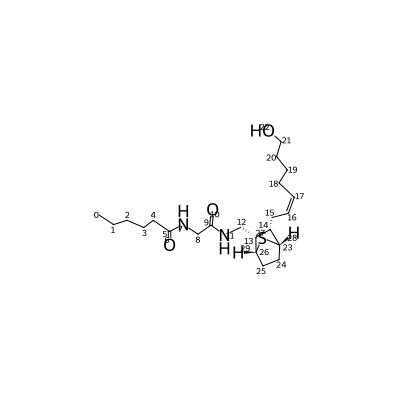 CCCCCC(=O)NCC(=O)NC[C@@H]1[C@H](C/C=C\CCCCO)[C@@H]2CC[C@H]1S2